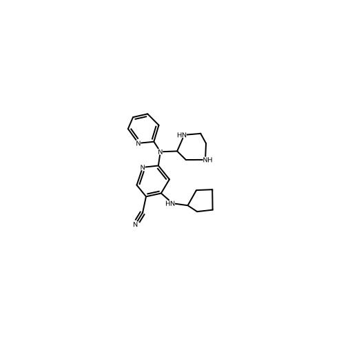 N#Cc1cnc(N(c2ccccn2)C2CNCCN2)cc1NC1CCCC1